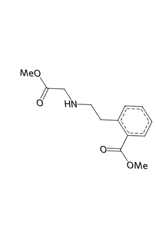 COC(=O)CNCCc1ccccc1C(=O)OC